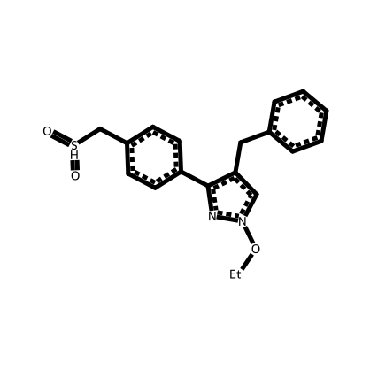 CCOn1cc(Cc2ccccc2)c(-c2ccc(C[SH](=O)=O)cc2)n1